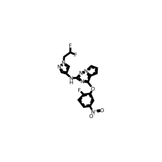 O=[N+]([O-])c1ccc(F)c(Oc2nc(Nc3cnn(CC(F)F)c3)nn3cccc23)c1